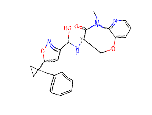 CN1C(=O)[C@@H](NC(O)c2cc(C3(c4ccccc4)CC3)on2)COc2cccnc21